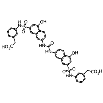 O=C(O)Cc1cccc(NS(=O)(=O)c2cc(O)c3ccc(NC(=O)Nc4ccc5c(O)cc(S(=O)(=O)Nc6cccc(CC(=O)O)c6)cc5c4)cc3c2)c1